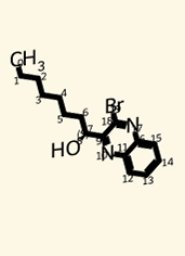 CCCCCCC[C@H](O)c1nc2ccccc2nc1Br